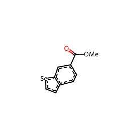 COC(=O)c1ccc2cc[se]c2c1